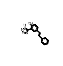 Oc1ccc(C=Cc2ccccc2)cc1-c1nnn[nH]1